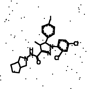 CC1C(C(=O)NN2CC3CCCC3C2)=NN(c2ccc(Cl)cc2Cl)C1c1ccc(I)cc1